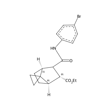 CCOC(=O)[C@H]1C(C(=O)Nc2ccc(Br)cc2)[C@@H]2CC[C@H]1C21CC1